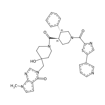 Cn1ccc2c(=O)n(CC3(O)CCN(C(=O)[C@@H]4CCN(C(=O)c5ncc(-c6cccnc6)s5)C[C@H]4c4ccccc4)CC3)cnc21